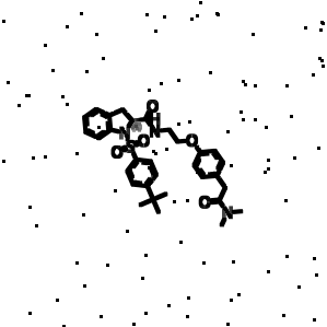 CN(C)C(=O)Cc1ccc(OCCNC(=O)[C@@H]2Cc3ccccc3N2S(=O)(=O)c2ccc(C(C)(C)C)cc2)cc1